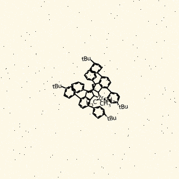 CC(C)(C)c1ccc(-c2ccc(-c3ccc(C(C)(C)C)cc3)c3c2C=C(Cc2ccccc2)[CH]3[Zr]([CH3])([CH3])(=[SiH2])[CH]2C(Cc3ccccc3)=Cc3c(-c4ccc(C(C)(C)C)cc4)ccc(-c4ccc(C(C)(C)C)cc4)c32)cc1